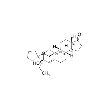 CCOC1(OC[C@]23CCC(O)C=C2CC[C@@H]2[C@H]3CC[C@]3(C)C(=O)CC[C@@H]23)CCCC1